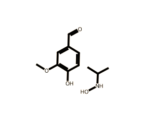 CC(C)NO.COc1cc(C=O)ccc1O